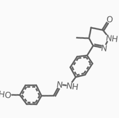 CC1CC(=O)NN=C1c1ccc(NN=Cc2ccc(O)cc2)cc1